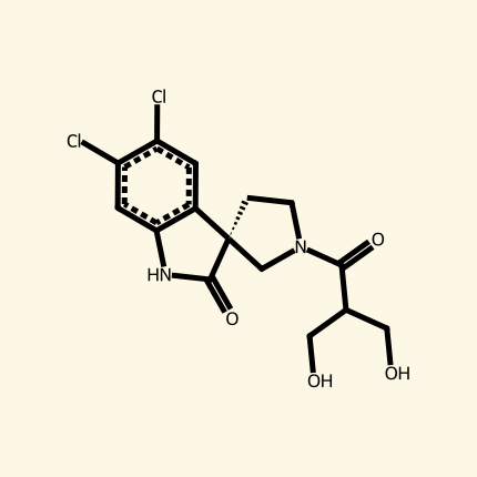 O=C(C(CO)CO)N1CC[C@]2(C1)C(=O)Nc1cc(Cl)c(Cl)cc12